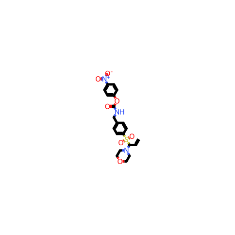 C=CC(N1CCOCC1)S(=O)(=O)c1ccc(CNC(=O)Oc2ccc([N+](=O)[O-])cc2)cc1